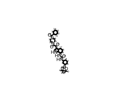 CC1(C)OB(c2cccc(NC(=O)Nc3cccc4c(C(=O)C(=O)N5CCN(C(=O)c6ccccc6)CC5)c[nH]c34)c2)OC1(C)C